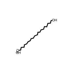 OCCCCCCCCCCCCCCCCCCCCOO